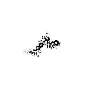 Cc1c(C[C@H](C)Nc2cc[nH]c(=O)c2-c2nc3cc4c(cc3[nH]2)CN(CCN(C)C)C4=O)ccc(F)c1F